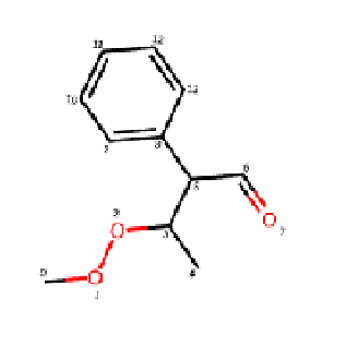 COOC(C)C(C=O)c1ccccc1